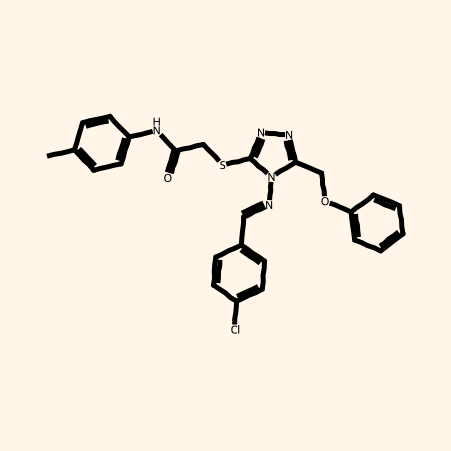 Cc1ccc(NC(=O)CSc2nnc(COc3ccccc3)n2N=Cc2ccc(Cl)cc2)cc1